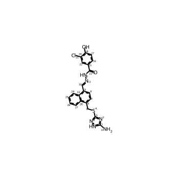 Nc1nc(SCc2ccc(/C=N/NC(=O)c3ccc(O)c(Cl)c3)c3ccccc23)n[nH]1